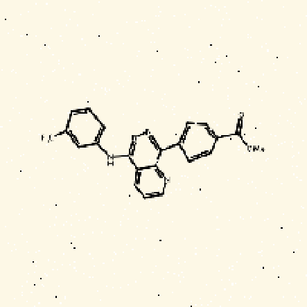 COC(=O)c1ccc(-c2nnc(Nc3cccc(C(F)(F)F)c3)c3cccnc23)cc1